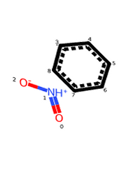 O=[NH+][O-].[c]1ccccc1